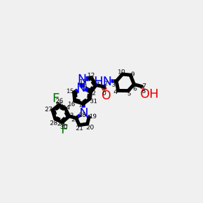 O=C(NC1CCC(CO)CC1)c1cnn2ccc(N3CCCC3c3cc(F)ccc3F)cc12